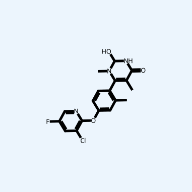 CC1=C(c2ccc(Oc3ncc(F)cc3Cl)cc2C)N(C)C(O)NC1=O